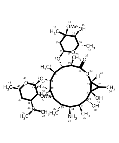 CO[C@H]1[C@H](O[C@@H]2[C@@H](C)[C@H](O[C@H]3C[C@@](C)(OC)[C@@H](O)[C@H](C)O3)[C@@H](C)C(=O)O[C@@H]3C(C)[C@]3(O)[C@H](O)[C@@H](C)[C@@H](N)[C@H](C)C[C@]2(C)OC)O[C@H](C)C[C@@H]1N(C)C